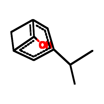 CC(C)c1cc2c(O)c(c1)C2